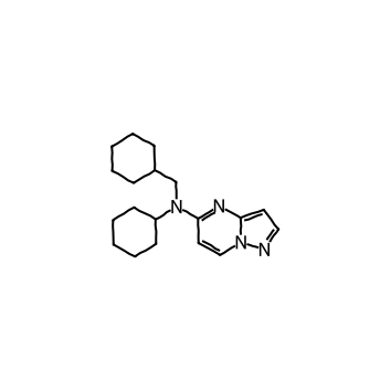 c1cc2nc(N(CC3CCCCC3)C3CCCCC3)ccn2n1